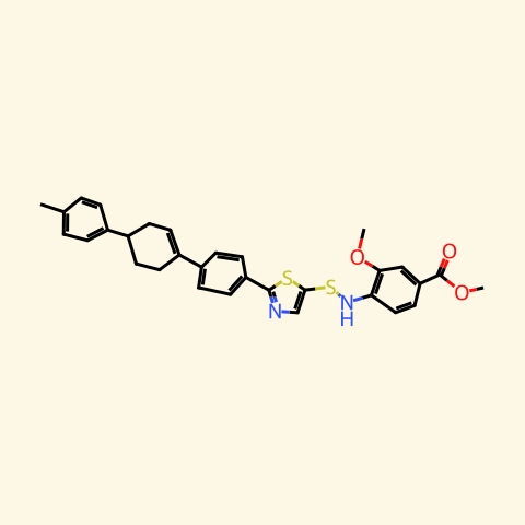 COC(=O)c1ccc(NSc2cnc(-c3ccc(C4=CCC(c5ccc(C)cc5)CC4)cc3)s2)c(OC)c1